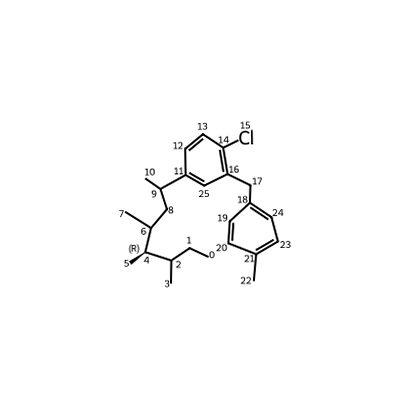 CCC(C)[C@@H](C)C(C)CC(C)c1ccc(Cl)c(Cc2ccc(C)cc2)c1